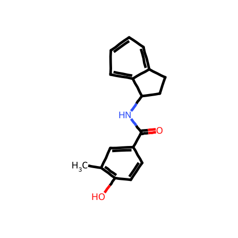 Cc1cc(C(=O)NC2CCc3ccccc32)ccc1O